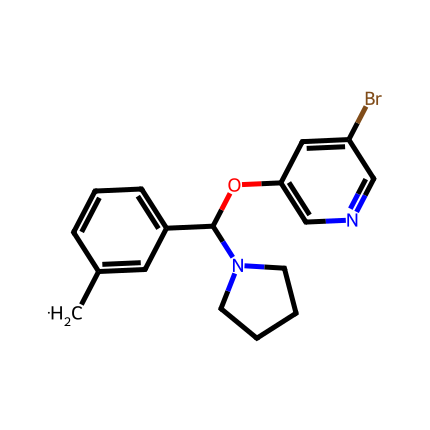 [CH2]c1cccc(C(Oc2cncc(Br)c2)N2CCCC2)c1